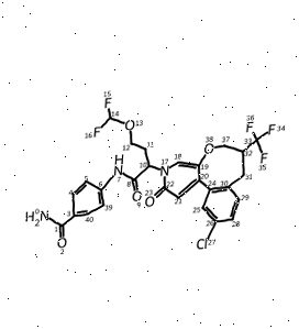 NC(=O)c1ccc(NC(=O)C(CCOC(F)F)n2cc3c(cc2=O)-c2cc(Cl)ccc2CC(C(F)(F)F)CO3)cc1